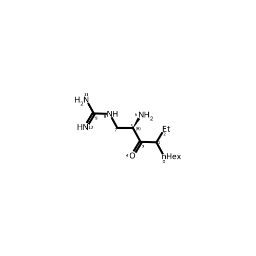 CCCCCCC(CC)C(=O)[C@H](N)CNC(=N)N